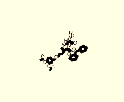 CC(=O)Oc1ccc(COC/C=C/C2=C(C(=O)OC(c3ccccc3)c3ccccc3)N3C(=O)C(N)[C@H]3SC2)cc1OC(C)=O